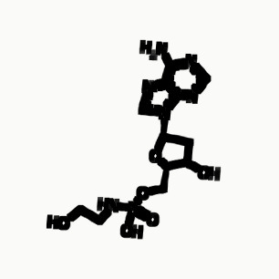 Nc1ncnc2c1ncn2[C@H]1CC(O)[C@@H](COP(=O)(O)NCCO)O1